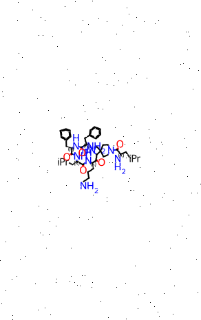 CC(C)C[C@@H](N)C(=O)N1CCC2(CC1)CNC2C(=O)[C@@H](CCCCN)NC(=O)[C@@H](CC(C)C)NC(=O)[C@@H](Cc1ccccc1)NC(=O)[C@H](N)Cc1ccccc1